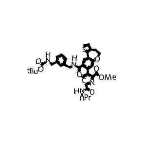 CCCNC(=O)c1ccc(-c2cc3c(cc2C(=O)NCc2cccc(CNC(=O)OC(C)(C)C)c2)-c2sccc2CCO3)c(C(=O)OC)n1